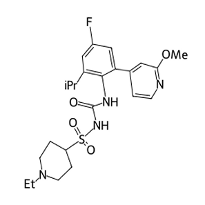 CCN1CCC(S(=O)(=O)NC(=O)Nc2c(-c3ccnc(OC)c3)cc(F)cc2C(C)C)CC1